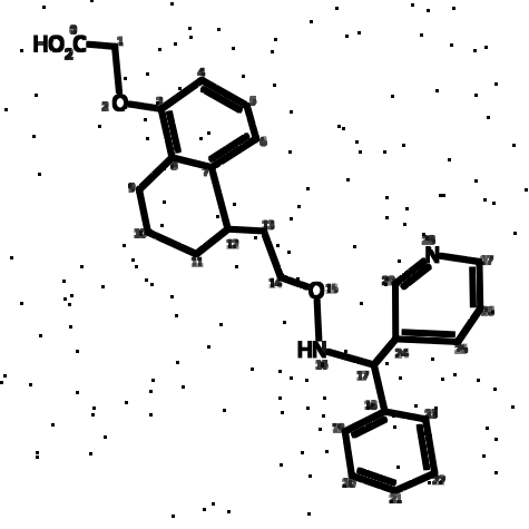 O=C(O)COc1cccc2c1CCCC2CCONC(c1ccccc1)c1cccnc1